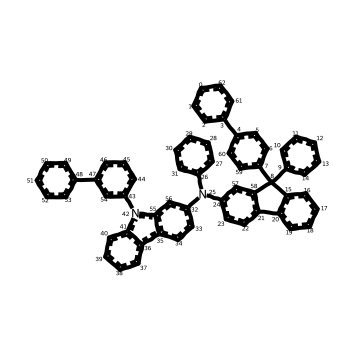 c1ccc(-c2ccc(C3(c4ccccc4)c4ccccc4-c4ccc(N(c5ccccc5)c5ccc6c7ccccc7n(-c7cccc(-c8ccccc8)c7)c6c5)cc43)cc2)cc1